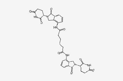 O=C1CCC(N2Cc3c(NC(=O)CCCCC(=O)Nc4cccc5c4CN(C4CCC(=O)NC4=O)C5=O)cccc3C2=O)C(=O)N1